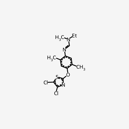 CCN(C)C=Nc1cc(C)c(Oc2nc(Cl)c(Cl)s2)cc1C